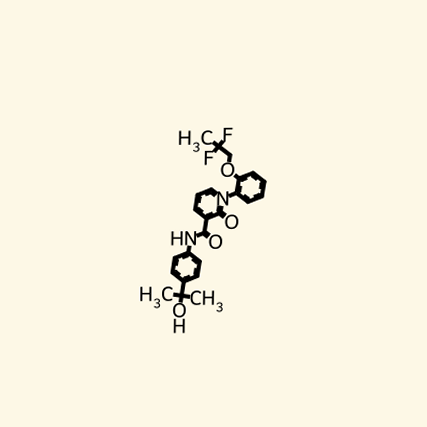 CC(F)(F)COc1ccccc1-n1cccc(C(=O)Nc2ccc(C(C)(C)O)cc2)c1=O